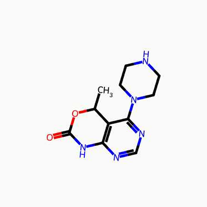 CC1OC(=O)Nc2ncnc(N3CCNCC3)c21